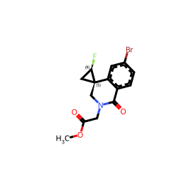 COC(=O)CN1C[C@]2(C[C@H]2F)c2cc(Br)ccc2C1=O